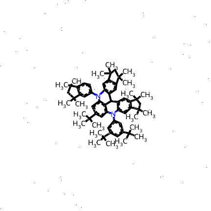 CC(C)(C)c1cc(N2c3cc4c(cc3C3c5cc6c(cc5N(c5ccc7c(c5)C(C)(C)CC7(C)C)c5cc(C(C)(C)C)cc2c53)C(C)(C)CC6(C)C)C(C)(C)CC4(C)C)cc(C(C)(C)C)c1